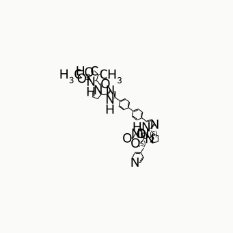 COC(=O)NC(C(=O)N1CCCC1c1ncc(-c2ccc(-c3ccc(-c4cnc([C@@H]5CCCN5C(=O)[C@H](Cc5ccncc5)OC(N)=O)[nH]4)cc3)cc2)[nH]1)C(C)C